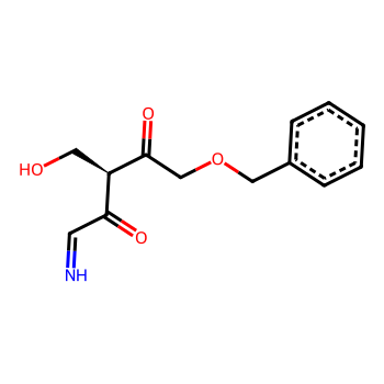 N=CC(=O)[C@@H](CO)C(=O)COCc1ccccc1